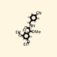 CCOc1cc(OCC)c(F)c(C(OC)C(=O)NCc2ccc(C#N)cc2)c1